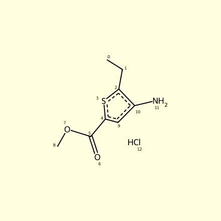 CCc1sc(C(=O)OC)cc1N.Cl